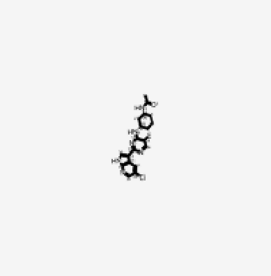 CC(=O)N[C@@H]1CCC[C@H](Nc2nc(-c3c[nH]c4ncc(Cl)cc34)ncc2F)C1